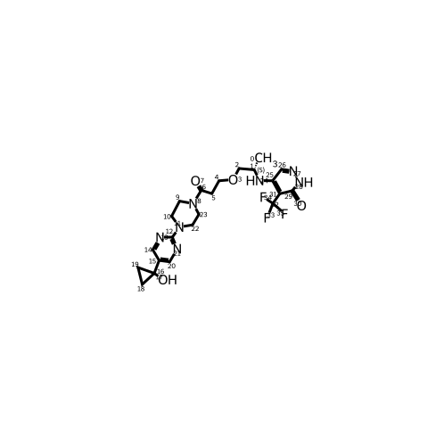 C[C@@H](COCCC(=O)N1CCN(c2ncc(C3(O)CC3)cn2)CC1)Nc1cn[nH]c(=O)c1C(F)(F)F